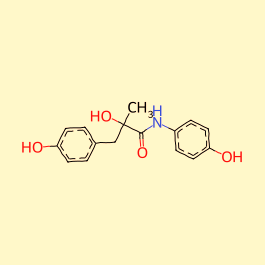 CC(O)(Cc1ccc(O)cc1)C(=O)Nc1ccc(O)cc1